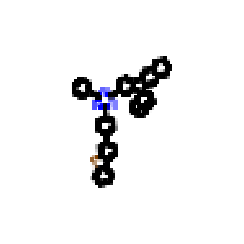 c1ccc(-c2nc(-c3ccc(-c4ccc5c(c4)sc4ccccc45)cc3)nc(-c3ccc4c(c3)C3(c5cc6ccccc6cc5-4)C4CC5CC(C4)CC3C5)n2)cc1